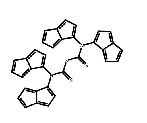 S=C(SC(=S)N(C1=CC=C2C=CC=C21)C1=CC=C2C=CC=C21)N(C1=CC=C2C=CC=C21)C1=CC=C2C=CC=C21